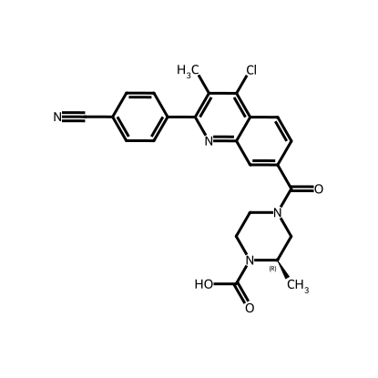 Cc1c(-c2ccc(C#N)cc2)nc2cc(C(=O)N3CCN(C(=O)O)[C@H](C)C3)ccc2c1Cl